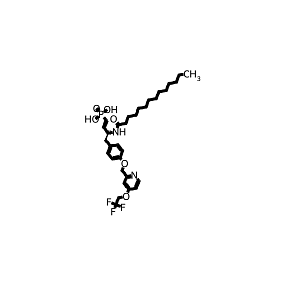 CCCCCCCCCCCCCC(=O)N[C@H](C=CP(=O)(O)O)Cc1ccc(OCc2cc(OCC(F)(F)F)ccn2)cc1